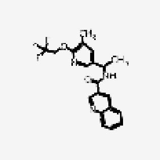 Cc1cc(C(C)NC(=O)c2cnc3ccccc3c2)cnc1OCC(F)(F)F